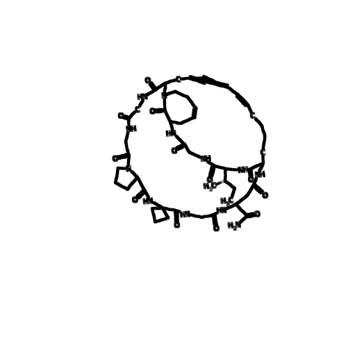 CC[C@H](C)C1NC(=O)C2CCCCC=Cc3ccc(cc3)CC(C(=O)NCC(=O)NCC(=O)N3CCCC3C(=O)NC3(CCC3)C(=O)NCC(=O)NC(C(N)=O)CC(=O)N2)N2CCC=CCC(NC(=O)CNC1=O)C2=O